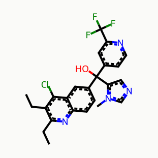 CCc1nc2ccc(C(O)(c3ccnc(C(F)(F)F)c3)c3cncn3C)cc2c(Cl)c1CC